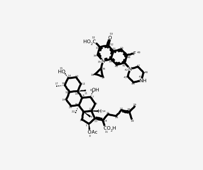 CC(=O)O[C@H]1C[C@@]2(C)[C@H](C[C@@H](O)C3[C@@]4(C)CC[C@@H](O)[C@@H](C)C4CC[C@@]32C)C1=C(CCC=C(C)C)C(=O)O.O=C(O)c1cn(C2CC2)c2cc(N3CCNCC3)c(F)cc2c1=O